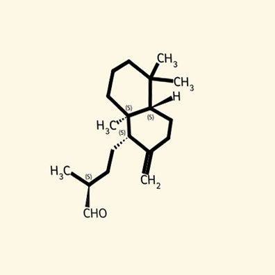 C=C1CC[C@H]2C(C)(C)CCC[C@]2(C)[C@H]1CC[C@H](C)C=O